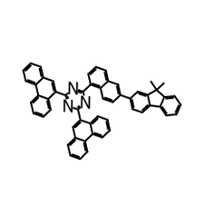 CC1(C)c2ccccc2-c2ccc(-c3ccc4c(-c5nc(-c6cc7ccccc7c7ccccc67)nc(-c6cc7ccccc7c7ccccc67)n5)cccc4c3)cc21